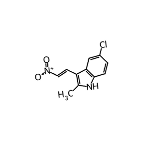 Cc1[nH]c2ccc(Cl)cc2c1/C=C/[N+](=O)[O-]